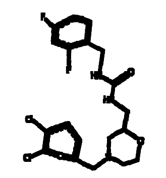 O=C(NCc1ccc(F)cc1F)NCC1CN(Cc2ccc(Cl)c(Cl)c2)CCO1